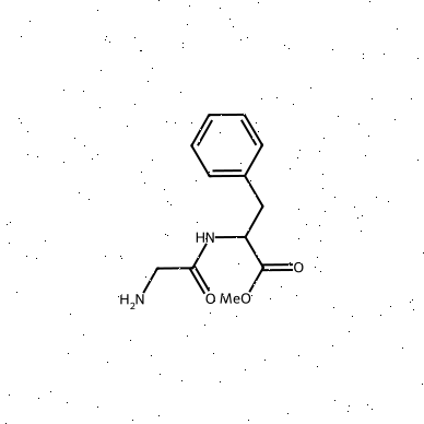 COC(=O)C(Cc1ccccc1)NC(=O)CN